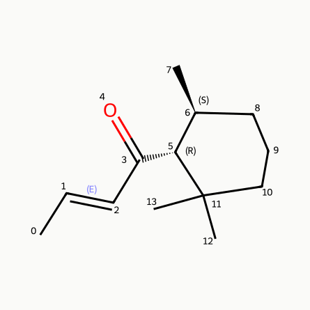 C/C=C/C(=O)[C@@H]1[C@@H](C)CCCC1(C)C